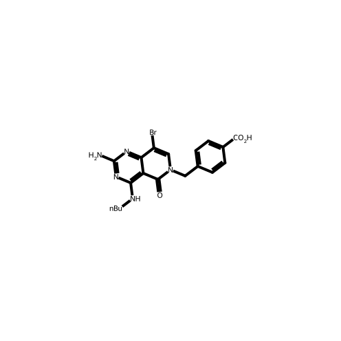 CCCCNc1nc(N)nc2c(Br)cn(Cc3ccc(C(=O)O)cc3)c(=O)c12